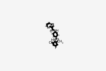 Cc1cc(F)cc(Cl)c1NC(=O)[C@H]1CC[C@H](NC(=O)c2cnn3cccnc23)CC1